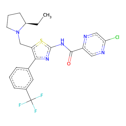 CC[C@@H]1CCCN1Cc1sc(NC(=O)c2cnc(Cl)cn2)nc1-c1cccc(C(F)(F)F)c1